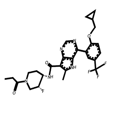 CCC(=O)N1CC[C@H](NC(=O)c2c(C)[nH]c3c(-c4cc(C(F)(F)F)ccc4OCC4CC4)ncnc23)[C@H](F)C1